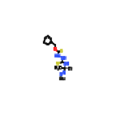 CCC(C)N=NC(C)(CC)NC(=S)NNC(=S)OCc1ccccc1